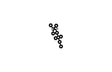 c1ccc(-c2ccc(-c3c4ccccc4c(-c4ccc(-c5nc6ccccc6c6c(-c7ccccc7)sc(-c7ccccc7)c56)cc4)c4ccccc34)cc2)cc1